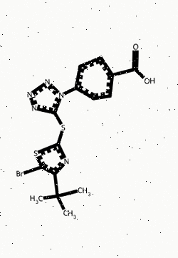 CC(C)(C)c1nc(Sc2nnnn2-c2ccc(C(=O)O)cc2)sc1Br